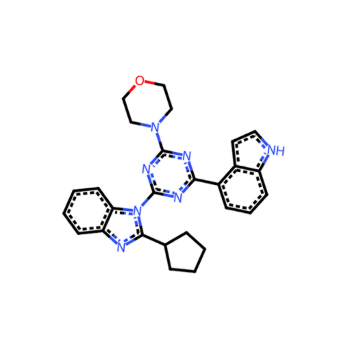 c1ccc2c(c1)nc(C1CCCC1)n2-c1nc(-c2cccc3[nH]ccc23)nc(N2CCOCC2)n1